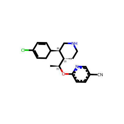 C[C@H](Oc1ccc(C#N)cn1)[C@H]1CCNC[C@@H]1C1C=CC(Cl)=CC1